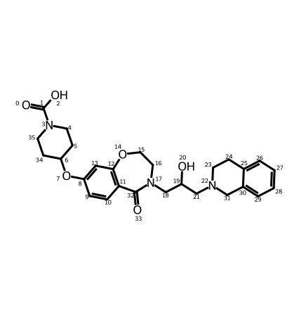 O=C(O)N1CCC(Oc2ccc3c(c2)OCCN(CC(O)CN2CCc4ccccc4C2)C3=O)CC1